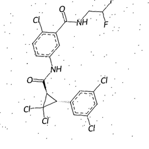 O=C(NCC(F)F)c1cc(NC(=O)[C@H]2[C@H](c3cc(Cl)cc(Cl)c3)C2(Cl)Cl)ccc1Cl